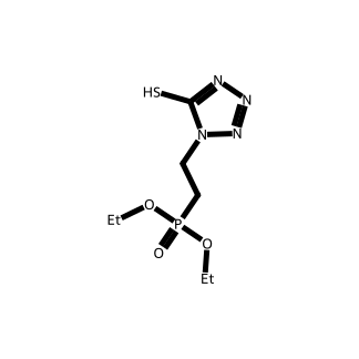 CCOP(=O)(CCn1nnnc1S)OCC